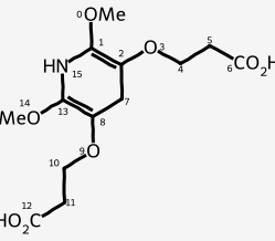 COC1=C(OCCC(=O)O)CC(OCCC(=O)O)=C(OC)N1